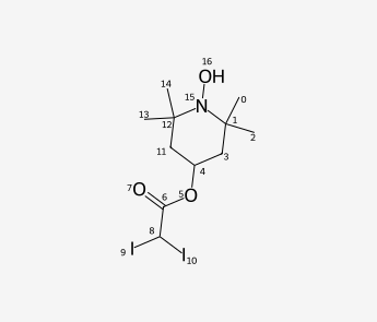 CC1(C)CC(OC(=O)C(I)I)CC(C)(C)N1O